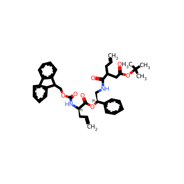 C=CCC(CC(=O)OC(C)(C)C)C(=O)NC[C@H](OC(=O)[C@@H](CC=C)NC(=O)OCC1c2ccccc2-c2ccccc21)c1ccccc1